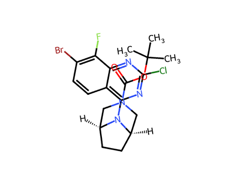 CC(C)(C)OC(=O)N1C[C@H]2CC[C@@H](C1)N2c1nc(Cl)nc2c(F)c(Br)ccc12